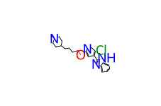 CN1CCC(CCCCOc2cc(-c3nc4ccccc4[nH]3)c(Cl)cn2)CC1